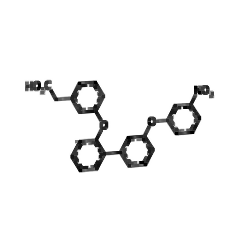 O=C(O)Cc1cccc(Oc2[c]cccc2-c2cccc(Oc3cccc([N+](=O)[O-])c3)c2)c1